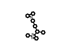 c1ccc(-c2cc(-c3ccc(-c4ccc(-n5c6ccccc6c6ccccc65)cc4)cc3)cc(-c3nc(-c4ccccc4)nc4ccccc34)c2)cc1